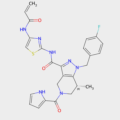 C=CC(=O)Nc1csc(NC(=O)c2nn(Cc3ccc(F)cc3)c3c2CN(C(=O)c2ccc[nH]2)C[C@H]3C)n1